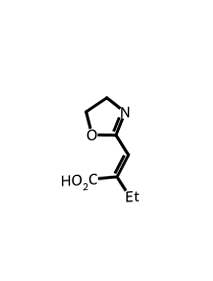 CCC(=CC1=NCCO1)C(=O)O